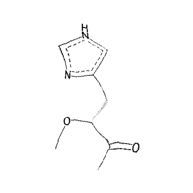 CO[C@H](Cc1c[nH]cn1)C(C)=O